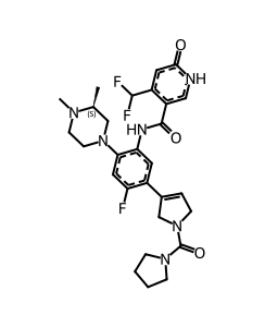 C[C@H]1CN(c2cc(F)c(C3=CCN(C(=O)N4CCCC4)C3)cc2NC(=O)c2c[nH]c(=O)cc2C(F)F)CCN1C